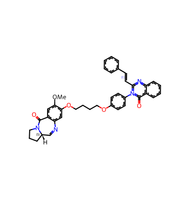 COc1cc2c(cc1OCCCCOc1ccc(-n3c(/C=C/c4ccccc4)nc4ccccc4c3=O)cc1)N=C[C@@H]1CCCN1C2=O